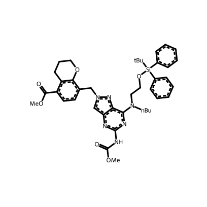 CCCCN(CCO[Si](c1ccccc1)(c1ccccc1)C(C)(C)C)c1nc(NC(=O)OC)nc2cn(Cc3ccc(C(=O)OC)c4c3OCCC4)nc12